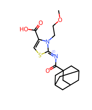 COCCn1c(C(=O)O)cs/c1=N\C(=O)C12CC3CC(CC(C3)C1)C2